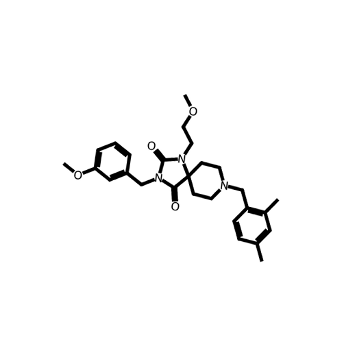 COCCN1C(=O)N(Cc2cccc(OC)c2)C(=O)C12CCN(Cc1ccc(C)cc1C)CC2